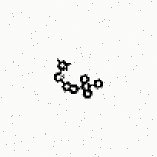 Cc1cc(C)nc(-c2cccc(-c3ccc4ccc(-c5c6ccccc6c(-c6ccccc6)c6ccccc56)cc4c3)n2)c1